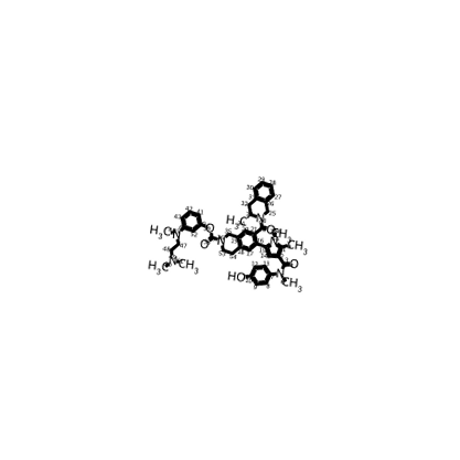 Cc1c(C(=O)N(C)c2ccc(O)cc2)cc(-c2cc3c(cc2C(=O)N2Cc4ccccc4C[C@H]2C)CN(C(=O)Oc2cccc(N(C)CCN(C)C)c2)CC3)n1C